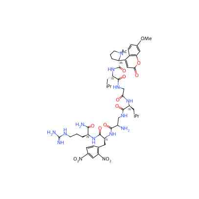 COc1ccc2c([C@@]3(C(=O)N[C@@H](CC(C)C)C(=O)NCC(=O)N[C@@H](CC(C)C)C(=O)NCC(N)C(=O)N[C@@H](Cc4ccc([N+](=O)[O-])cc4[N+](=O)[O-])C(=O)N[C@@H](CCCNC(=N)N)C(N)=O)CCCN3C(C)=O)cc(=O)oc2c1